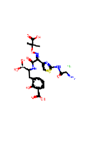 CC(C)(O/N=C(\C(=O)NC(Cc1cccc(C(=O)O)c1O)B(O)O)c1csc(NC(=O)CN)n1)C(=O)O.Cl